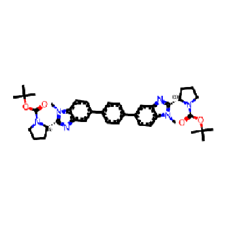 Cn1c([C@@H]2CCCN2C(=O)OC(C)(C)C)nc2cc(-c3ccc(-c4ccc5c(c4)nc([C@@H]4CCCN4C(=O)OC(C)(C)C)n5C)cc3)ccc21